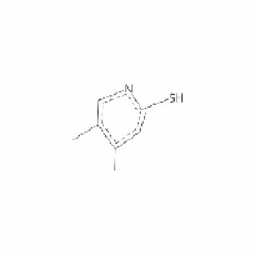 Cc1cnc(S)cc1C